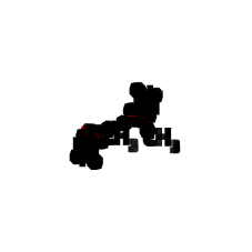 Cc1ccc(-c2ccc3c(c2)c2cc(-c4ccc(CCc5ccc(-c6ccc7c(c6)c6ccccc6n7-c6c(-c7ccccc7C#N)cc(-c7cc(-c8ccccc8)nc(-c8ccccc8)n7)cc6-c6ccccc6C#N)c(C)c5)cc4)ccc2n3-c2c(-c3ccccc3C#N)cc(-c3cc(-c4ccccc4)nc(-c4ccccc4)n3)cc2-c2ccccc2C#N)cc1